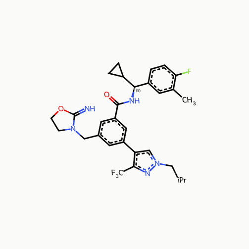 Cc1cc([C@@H](NC(=O)c2cc(CN3CCOC3=N)cc(-c3cn(CC(C)C)nc3C(F)(F)F)c2)C2CC2)ccc1F